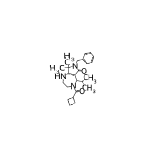 CC(C)C1C2=C(NCCN1C(=O)C1CCC1)C(C)(C)N(Cc1ccccc1)C2=O